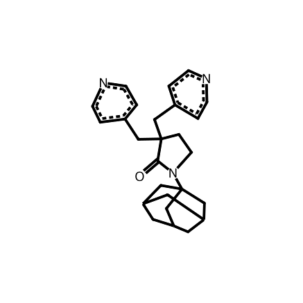 O=C1N(C23CC4CC(CC(C4)C2)C3)CCC1(Cc1ccncc1)Cc1ccncc1